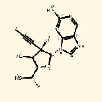 CC#C[C@@]1(Cl)C(O)[C@@H]([C@H](C)O)O[C@H]1n1cnc2cnc(N)nc21